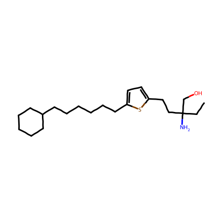 CCC(N)(CO)CCc1ccc(CCCCCCC2CCCCC2)s1